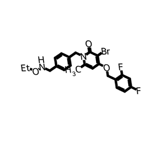 CCONCc1ccc(Cn2c(C)cc(OCc3ccc(F)cc3F)c(Br)c2=O)cc1